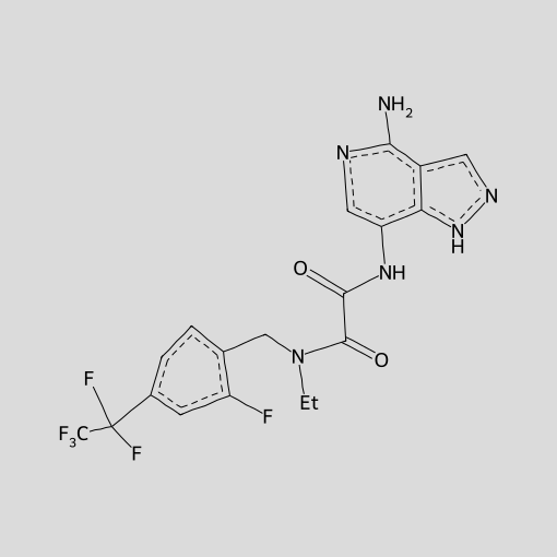 CCN(Cc1ccc(C(F)(F)C(F)(F)F)cc1F)C(=O)C(=O)Nc1cnc(N)c2cn[nH]c12